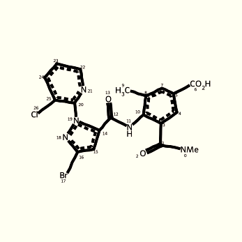 CNC(=O)c1cc(C(=O)O)cc(C)c1NC(=O)c1cc(Br)nn1-c1ncccc1Cl